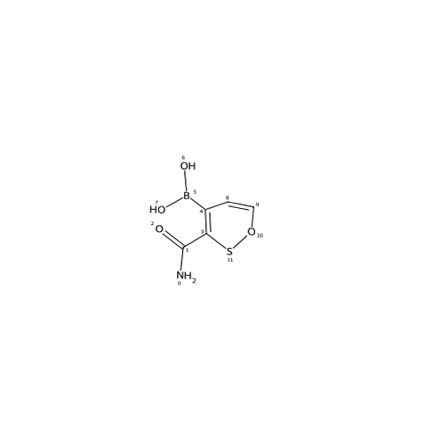 NC(=O)C1=C(B(O)O)C=COS1